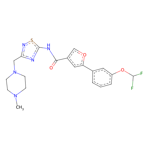 CN1CCN(Cc2nsc(NC(=O)c3coc(-c4cccc(OC(F)F)c4)c3)n2)CC1